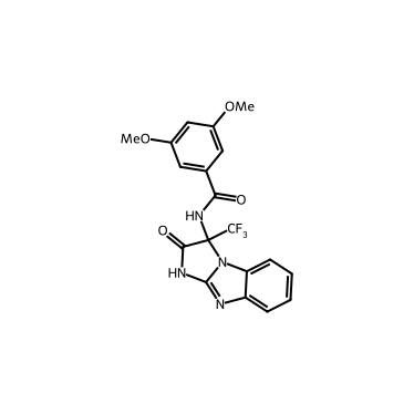 COc1cc(OC)cc(C(=O)NC2(C(F)(F)F)C(=O)Nc3nc4ccccc4n32)c1